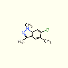 Cc1cc2c(C)nn(C)c2cc1Cl